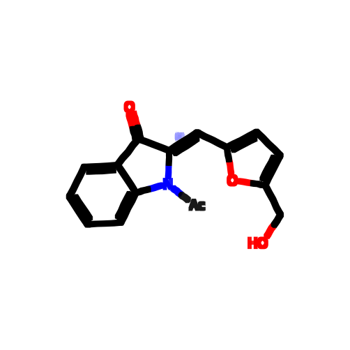 CC(=O)N1/C(=C\c2ccc(CO)o2)C(=O)c2ccccc21